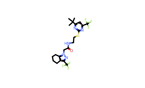 CC(C)(C)c1cc(C(F)(F)F)nc(SCCNC(=O)Cn2nc(C(F)(F)F)c3c2CCCC3)n1